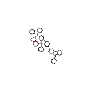 c1ccc(-n2c3ccccc3c3cc(-c4ccc5c(c4)C(c4ccccc4)(c4ccccc4)c4cc([Si](c6ccccc6)(c6ccccc6)c6ccccc6)ccc4-5)ccc32)cc1